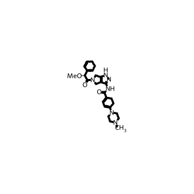 CO[C@@H](C(=O)N1Cc2[nH]nc(NC(=O)C3=CC=C(N4CCN(C)CC4)CC3)c2C1)C1=CCCC=C1